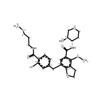 COc1c(C(=O)N[C@H]2CCOC[C@@H]2O)cc(Cc2ccc(C(=O)NCCCSC)c(F)c2)c2c1CCO2